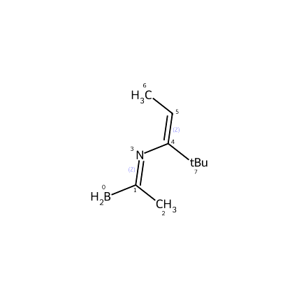 B/C(C)=N/C(=C\C)C(C)(C)C